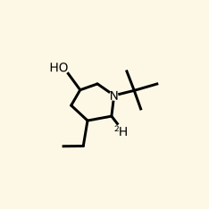 [2H]C1C(CC)CC(O)CN1C(C)(C)C